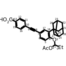 CCC(OC(C)=O)Oc1ccc(C#Cc2ccc(C(=O)O)cc2)cc1C12CC3CC(CC(C3)C1)C2